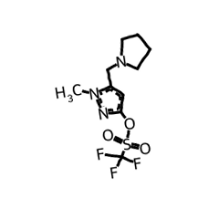 Cn1nc(OS(=O)(=O)C(F)(F)F)cc1CN1CCCC1